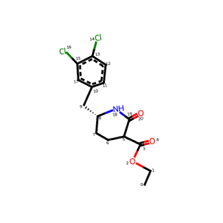 CCOC(=O)C1CC[C@H](Cc2ccc(Cl)c(Cl)c2)NC1=O